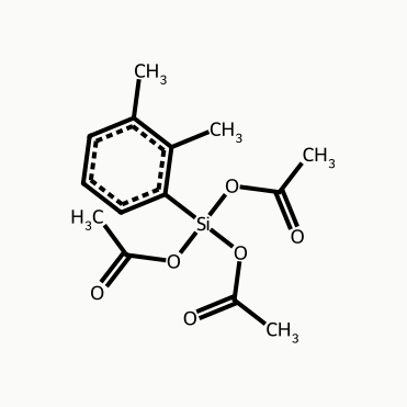 CC(=O)O[Si](OC(C)=O)(OC(C)=O)c1cccc(C)c1C